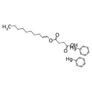 CCCCCCCCC=COC(=O)CCC(=O)O.[Hg][c]1ccccc1.[Hg][c]1ccccc1